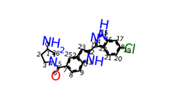 NC1CCN(C(=O)c2ccc3[nH]c(-c4n[nH]c5cc(Cl)ccc45)cc3c2)C1